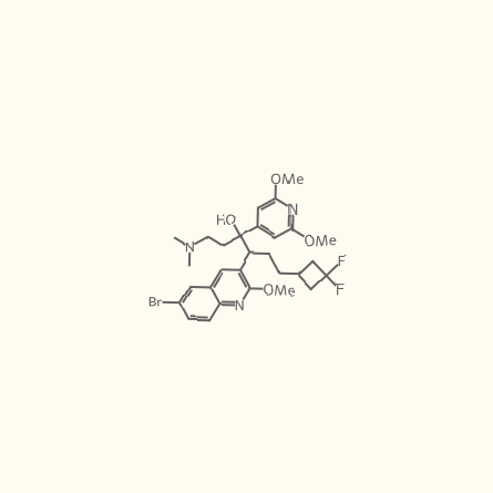 COc1cc(C(O)(CCN(C)C)C(CCC2CC(F)(F)C2)c2cc3cc(Br)ccc3nc2OC)cc(OC)n1